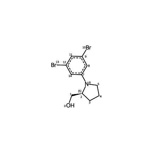 OC[C@@H]1CCCN1c1cc(Br)cc(Br)c1